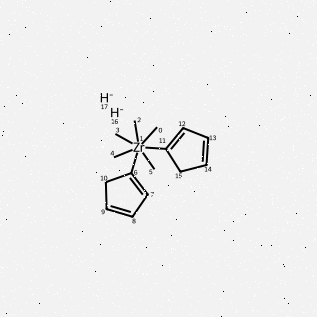 [CH3][Zr]([CH3])([CH3])([CH3])([CH3])([C]1=CC=CC1)[C]1=CC=CC1.[H-].[H-]